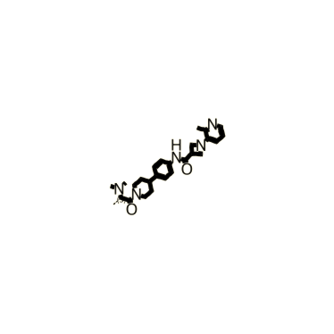 Cc1ncccc1N1CC(C(=O)Nc2ccc(C3CCN(C(=O)[C@H](C)N(C)C)CC3)cc2)C1